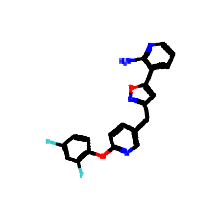 Nc1ncccc1-c1cc(Cc2ccc(Oc3ccc(F)cc3F)nc2)no1